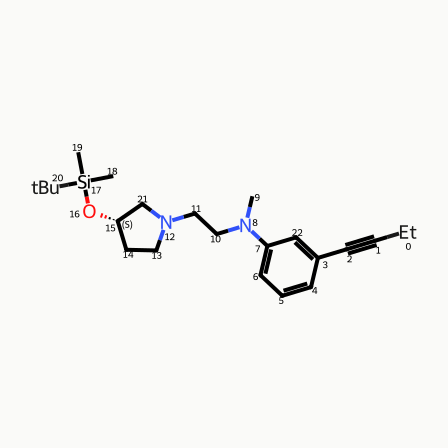 CCC#Cc1cccc(N(C)CCN2CC[C@H](O[Si](C)(C)C(C)(C)C)C2)c1